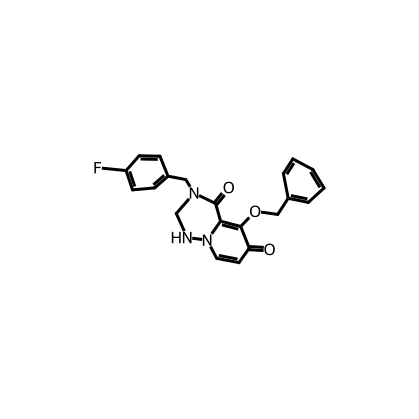 O=C1c2c(OCc3ccccc3)c(=O)ccn2NCN1Cc1ccc(F)cc1